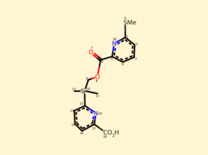 CSc1cccc(C(=O)OC[Si](C)(C)c2cccc(C(=O)O)n2)n1